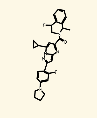 CC1c2ccccc2C(F)CN1C(=O)c1cc(C2CC2)n2nc(-c3ccc(N4CCCC4)cc3F)cc2n1